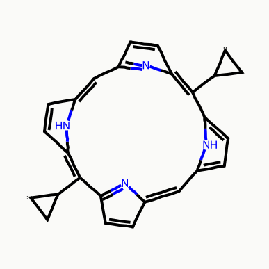 [C]1CC1c1c2nc(cc3ccc([nH]3)c(C3[C]C3)c3nc(cc4ccc1[nH]4)C=C3)C=C2